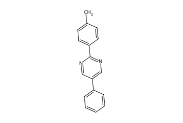 Cc1ccc(-c2ncc(-c3ccccc3)cn2)cc1